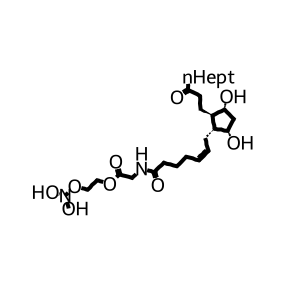 CCCCCCCC(=O)CC[C@@H]1[C@@H](C/C=C\CCCC(=O)NCC(=O)OCCON(O)O)[C@@H](O)C[C@H]1O